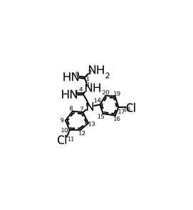 N=C(N)NC(=N)N(c1ccc(Cl)cc1)c1ccc(Cl)cc1